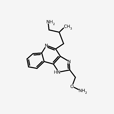 CC(CN)Cc1nc2ccccc2c2[nH]c(CON)nc12